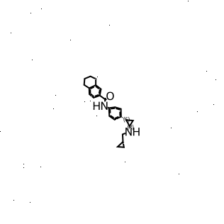 O=C(Nc1ccc([C@@H]2C[C@H]2NCC2CC2)cc1)c1ccc2c(c1)CCCC2